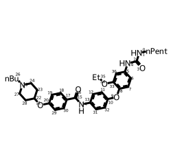 CCCCCNC(=O)Nc1ccc(Oc2ccc(NC(=O)c3ccc(OC4CCN(CCCC)CC4)cc3)cc2)c(OCC)c1